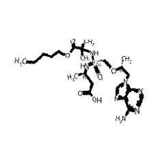 CCCCCOC(=O)C(C)(C)N[P@](=O)(CO[C@H](C)Cn1cnc2c(N)ncnc21)N[C@H](C)CC(=O)O